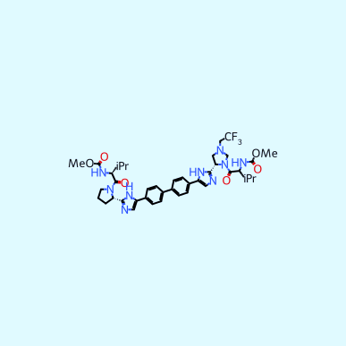 COC(=O)NC(C(=O)N1CN(CC(F)(F)F)C[C@H]1c1ncc(-c2ccc(-c3ccc(-c4cnc([C@@H]5CCCN5C(=O)[C@@H](NC(=O)OC)C(C)C)[nH]4)cc3)cc2)[nH]1)C(C)C